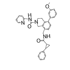 COc1cccc(-c2ccc(CNC(=O)C3CC3c3ccccc3)c3c2CCN(C(=O)Nc2ccccn2)C3)c1